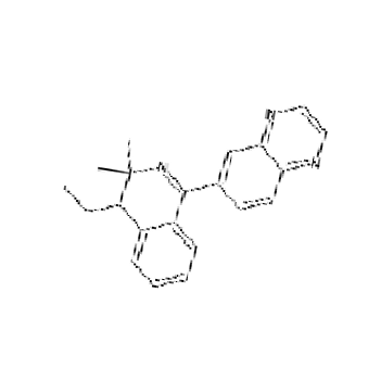 CCC1c2ccccc2C(c2ccc3nccnc3c2)=NC1(C)C